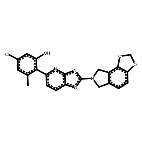 Cc1cc(Cl)cc(O)c1-c1ccc2oc(N3Cc4ccc5c(c4C3)OCO5)nc2n1